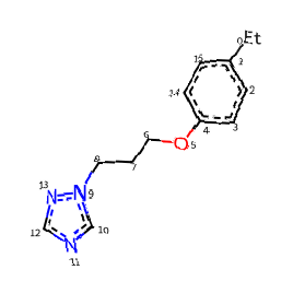 CCc1ccc(OCCCn2cncn2)cc1